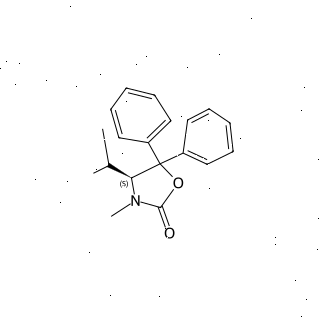 CC(C)[C@@H]1N(C)C(=O)OC1(c1ccccc1)c1ccccc1